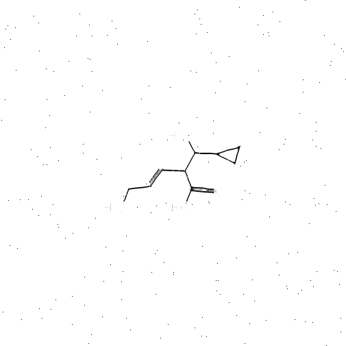 CCC=CC(C(=O)O)C(C)C1CC1